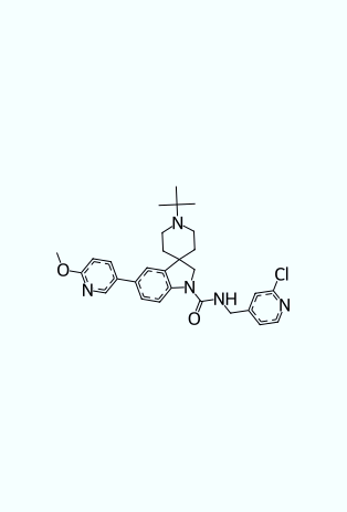 COc1ccc(-c2ccc3c(c2)C2(CCN(C(C)(C)C)CC2)CN3C(=O)NCc2ccnc(Cl)c2)cn1